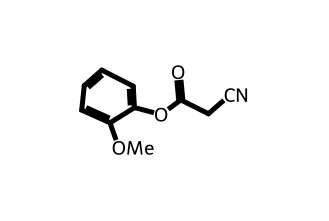 COc1ccccc1OC(=O)CC#N